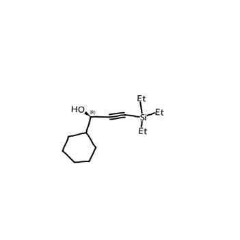 CC[Si](C#C[C@H](O)C1CCCCC1)(CC)CC